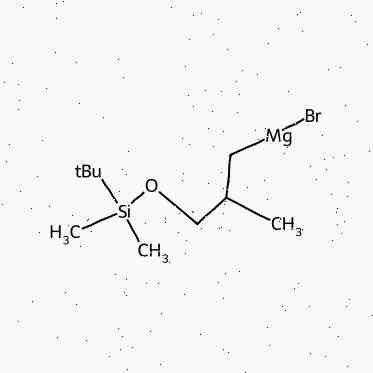 CC(CO[Si](C)(C)C(C)(C)C)[CH2][Mg][Br]